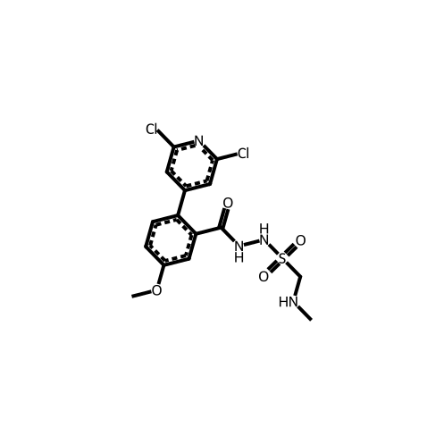 CNCS(=O)(=O)NNC(=O)c1cc(OC)ccc1-c1cc(Cl)nc(Cl)c1